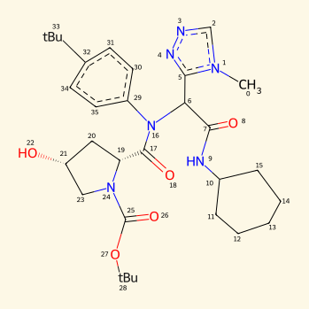 Cn1cnnc1C(C(=O)NC1CCCCC1)N(C(=O)[C@H]1C[C@@H](O)CN1C(=O)OC(C)(C)C)c1ccc(C(C)(C)C)cc1